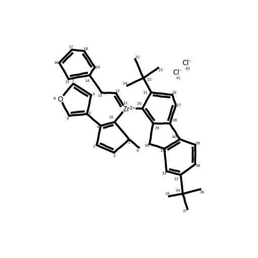 CC1C=CC(c2ccoc2)=[C]1[Zr+2](=[CH]Cc1ccccc1)[c]1c(C(C)(C)C)ccc2c1Cc1cc(C(C)(C)C)ccc1-2.[Cl-].[Cl-]